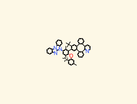 Cc1ccc2c(c1)Oc1c(cc(-n3c4ccccc4n4c5ccccc5nc34)c(C)c1-c1cc3c(cc1C(C)(C)C)-c1ccccc1-c1cccnc1-c1ccccc1-3)[Si]2(C)C